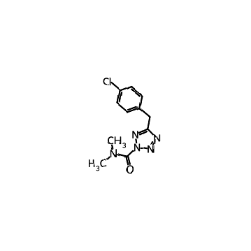 CN(C)C(=O)n1nnc(Cc2ccc(Cl)cc2)n1